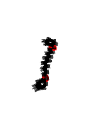 c1ccc(OCCCCCCCCCCCOc2ccccc2)cc1